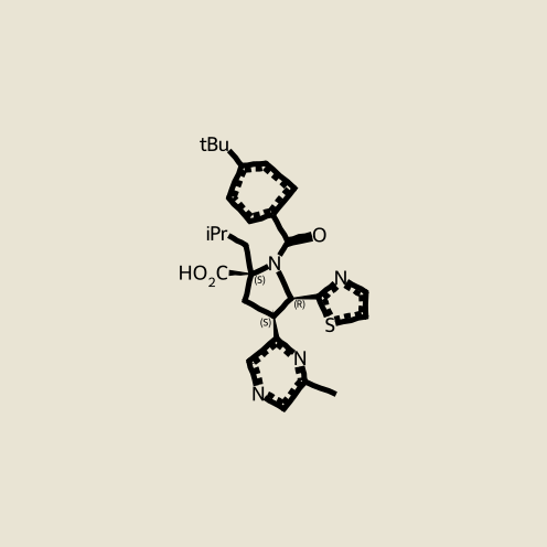 Cc1cncc([C@H]2C[C@@](CC(C)C)(C(=O)O)N(C(=O)c3ccc(C(C)(C)C)cc3)[C@H]2c2nccs2)n1